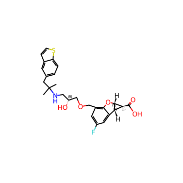 CC(C)(Cc1ccc2sccc2c1)NC[C@@H](O)COCc1cc(F)cc2c1O[C@@H]1[C@@H](C(=O)O)[C@H]21